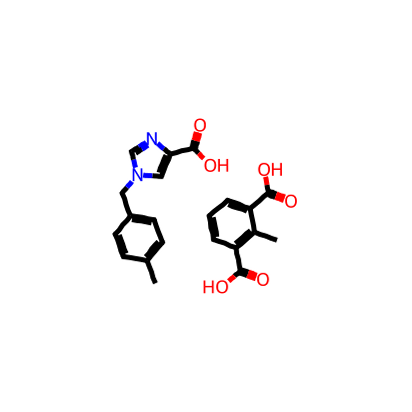 Cc1c(C(=O)O)cccc1C(=O)O.Cc1ccc(Cn2cnc(C(=O)O)c2)cc1